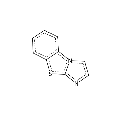 c1ccc2c(c1)sc1nccn12